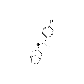 O=C(NC1CC2CCN(C2)C1)c1ccc(Cl)cc1